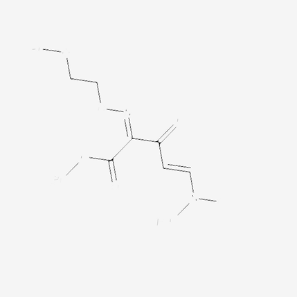 CCOCCON=C(C(=O)C=CN(C)C)C(=O)OC(C)(C)C